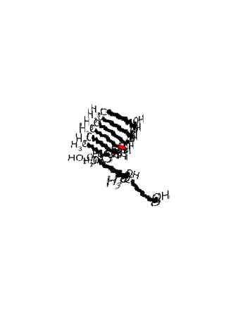 CCC(O)C(=O)O.CCCCCCCCCC(=O)O.CCCCCCCCCC(=O)O.CCCCCCCCCC(=O)O.CCCCCCCCCC(=O)O.CCCCCCCCCC(=O)O.CCCCCCCCCC(=O)O.CCCCCCCCCC(=O)O.CCCCCCCCCC(=O)O